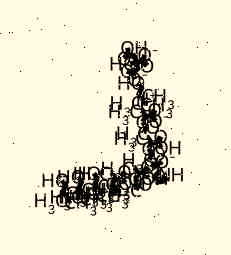 CCC(OC(C)=O)C(=O)O.CCC(OC(C)=O)C(=O)O.CCC(OC(C)=O)C(=O)O.CCC(OC(C)=O)C(=O)[O-].C[N+](C)(C)CCO.C[N+](C)(C)CCO.C[N+](C)(C)CCO.C[N+](C)(C)CCO.O=C([O-])CC(O)(CC(=O)O)C(=O)[O-].O=C([O-])[C@@H]1CCCN1